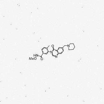 CONC(=O)c1ccc(C)c(-n2cnc3ccc(CN4CCCCC4)cc3c2=O)c1